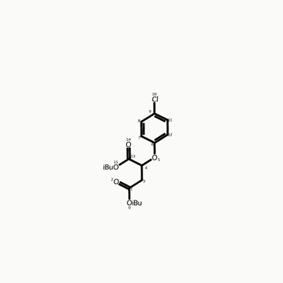 CC(C)COC(=O)CC(Oc1ccc(Cl)cc1)C(=O)OCC(C)C